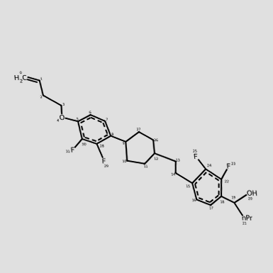 C=CCCOc1ccc(C2CCC(CCc3ccc(C(O)CCC)c(F)c3F)CC2)c(F)c1F